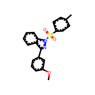 COc1cccc(-c2nn(S(=O)(=O)c3ccc(C)cc3)c3ccccc23)c1